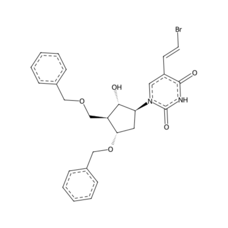 O=c1[nH]c(=O)n([C@H]2C[C@H](OCc3ccccc3)[C@@H](COCc3ccccc3)[C@@H]2O)cc1/C=C/Br